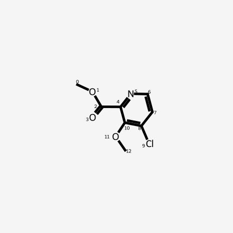 COC(=O)c1nccc(Cl)c1OC